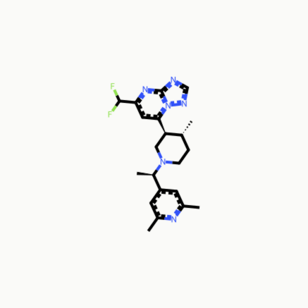 Cc1cc([C@@H](C)N2CC[C@@H](C)[C@H](c3cc(C(F)F)nc4ncnn34)C2)cc(C)n1